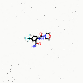 [NH]C(=O)c1cc(C(F)(F)F)ccc1NC(=O)N1CCOCC1